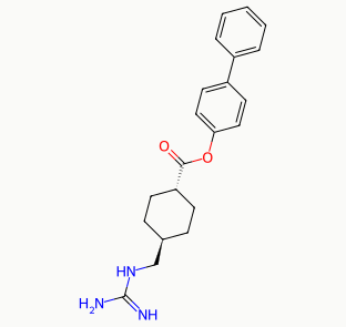 N=C(N)NC[C@H]1CC[C@H](C(=O)Oc2ccc(-c3ccccc3)cc2)CC1